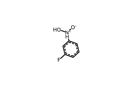 [O-][NH+](O)c1cccc(F)c1